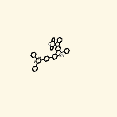 c1ccc(-c2cc(-c3ccc(-c4ccc5c(c4)-c4cc6c(cc4C(c4ccccc4)N5)-c4ccccc4C64c5ccccc5Oc5ccccc54)cc3)nc(-c3ccccc3)n2)cc1